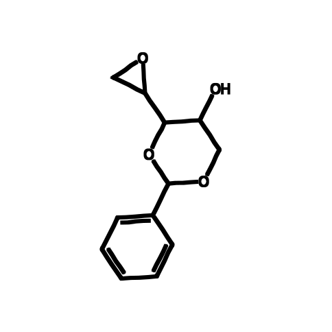 OC1COC(c2ccccc2)OC1C1CO1